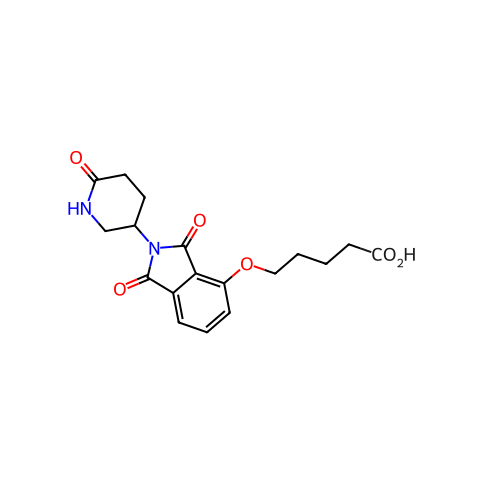 O=C(O)CCCCOc1cccc2c1C(=O)N(C1CCC(=O)NC1)C2=O